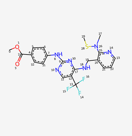 COC(=O)c1ccc(Nc2ncc(C(F)(F)F)c(NCc3cccnc3N(C)SC)n2)cc1